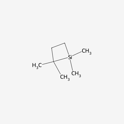 CC1(C)CC[Si]1(C)C